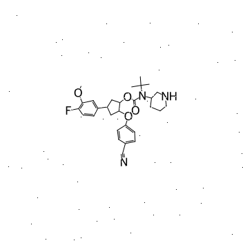 COc1cc(C2CC(OC(=O)N(C3CCCNC3)C(C)(C)C)C(Oc3ccc(C#N)cc3)C2)ccc1F